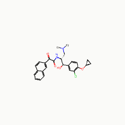 CCN(CC)C[C@@H](NC(=O)C(=O)c1ccc2ccccc2c1)[C@H](O)c1ccc(OC2CC2)c(Cl)c1